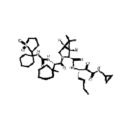 CCCC[C@H](NC(=O)[C@@H]1[C@@H]2[C@H](CN1C(=O)[C@@H](NC(=O)NC1(C3CCCS3(=O)=O)CCCCC1)C1(C)CCCCC1)C2(C)C)C(=O)C(=O)NC1CC1